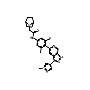 Cc1cc(NC(=O)CN2C3CCC2CC3)cc(F)c1-c1cc2c(-c3cnn(C)c3)n[nH]c2cn1